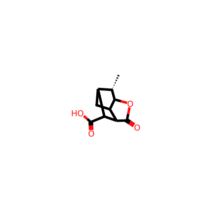 C[C@H]1C2CC3C(C(=O)OC31)C2C(=O)O